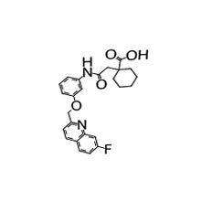 O=C(CC1(C(=O)O)CCCCC1)Nc1cccc(OCc2ccc3ccc(F)cc3n2)c1